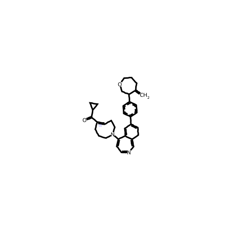 C=C1CCCOCC1c1ccc(C2=CCC3=CN=CC=C(N4CC/C=C(\C(=O)C5CC5)CCC4)C3=C2)cc1